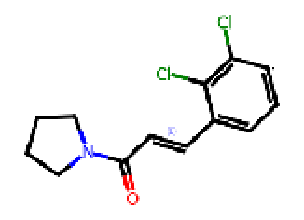 O=C(/C=C/c1cc[c]c(Cl)c1Cl)N1CCCC1